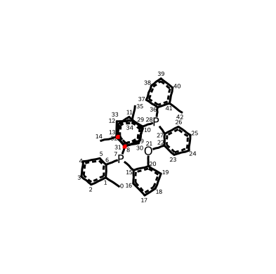 Cc1ccccc1P(c1ccccc1C)c1ccccc1Oc1ccccc1P(c1ccccc1C)c1ccccc1C